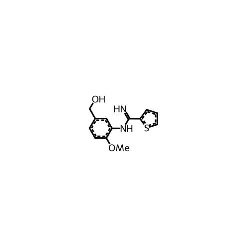 COc1ccc(CO)cc1NC(=N)c1cccs1